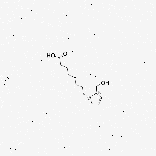 O=C(O)CCCCCCC[C@H]1CC=C[C@@H]1CO